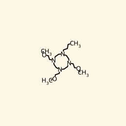 CCCCN1CCN(CCOC)CCN(CCOC)CCN(CCOC)CC1